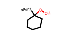 CCCCCC1(OO)CCCCC1